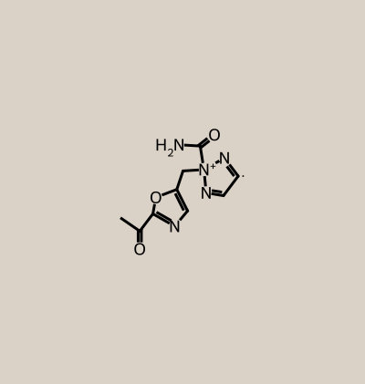 CC(=O)c1ncc(C[N+]2(C(N)=O)N=[C]C=N2)o1